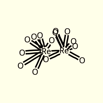 [O]=[Re](=[O])(=[O])(=[O])(=[O])(=[O])(=[O])[Re](=[O])(=[O])(=[O])(=[O])(=[O])(=[O])=[O]